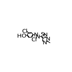 Cc1ncc2c(/N=N/c3cc(Cl)c(O)cc3Cl)snc2n1